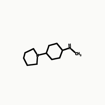 CNC1CCC(N2CCCCC2)CC1